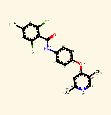 Cc1cc(F)c(C(=O)Nc2ccc(Oc3cc(C)ncc3C(F)(F)F)cc2)c(F)c1